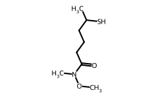 CON(C)C(=O)CCCC(C)S